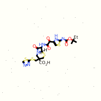 CCC(C)(C)OC(=O)N=c1[nH]c(C(=O)C(=O)NC2C(=O)N3CC(CSc4nncs4)(C(=O)O)CS[C@H]23)cs1